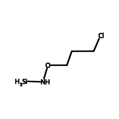 [SiH3]NOCCCCl